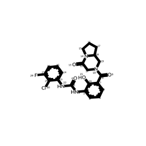 O=C(Nc1cccc(C(=O)N2CC(=O)N3CCCC3C2)c1O)Nc1cccc(F)c1Cl